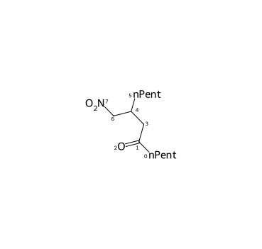 CCCCCC(=O)CC(CCCCC)C[N+](=O)[O-]